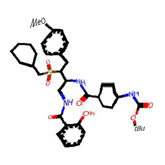 COc1ccc(CC(C(CNC(=O)c2ccccc2O)NC(=O)C2CCC(NC(=O)OC(C)(C)C)CC2)S(=O)(=O)CC2CCCCC2)cc1